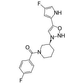 O=C(c1ccc(F)cc1)N1CCC[C@H](N2C=C(c3cc(F)c[nH]3)ON2)C1